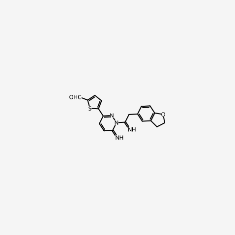 N=C(Cc1ccc2c(c1)CCO2)n1nc(-c2ccc(C=O)s2)ccc1=N